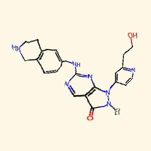 CCn1c(=O)c2cnc(Nc3ccc4c(c3)CCNC4)nc2n1-c1ccnc(CCO)c1